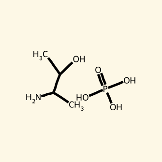 CC(N)C(C)O.O=P(O)(O)O